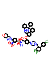 O=C(NS(=O)(=O)c1ccc(NCC2CCOCC2)c([N+](=O)[O-])c1)c1ccc(N2CCN(CC3=C(c4ccc(Cl)cc4)CCC(F)(F)C3)CC2)cc1Oc1cccc2c1cnn2C(c1ccccc1)(c1ccccc1)c1ccccc1